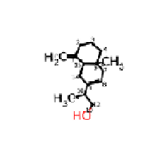 C=C1CCCC2(C)CC=C(C(C)CO)CC12